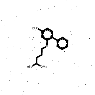 CCCCC(CCCOc1cc(C(=O)O)ccc1-c1ccccc1)OC